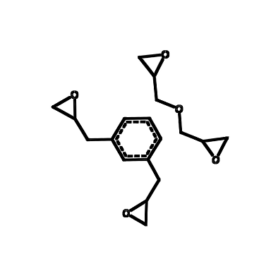 C(OCC1CO1)C1CO1.c1cc(CC2CO2)cc(CC2CO2)c1